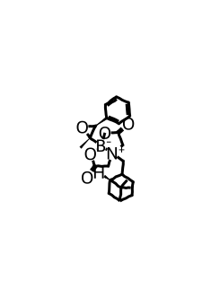 CC1(C)C2CCC(C[N+]34CC(=O)O[B-]3([C@]3(C)O[C@H]3c3ccccc3)OC(=O)C4)[C@H]1C2